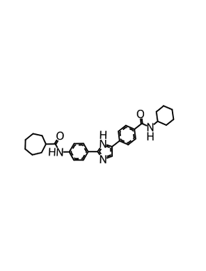 O=C(NC1CCCCC1)c1ccc(-c2cnc(-c3ccc(NC(=O)C4CCCCCC4)cc3)[nH]2)cc1